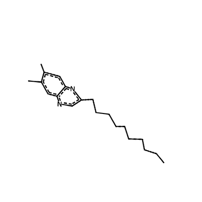 CCCCCCCCCCc1cnc2cc(C)c(C)cc2n1